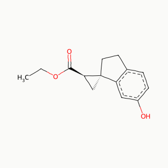 CCOC(=O)[C@@H]1C[C@@]12CCc1ccc(O)cc12